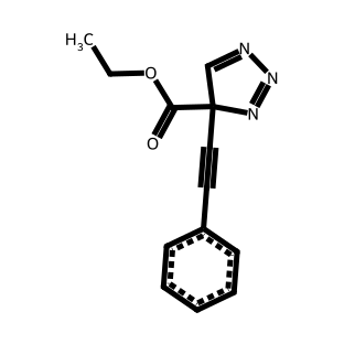 CCOC(=O)C1(C#Cc2ccccc2)C=NN=N1